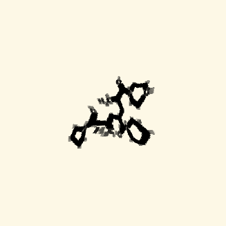 CC(CC(CC(C)C(=O)N1CCOCC1)C(=O)N1CCCCC1)C(=O)N1CCCC1